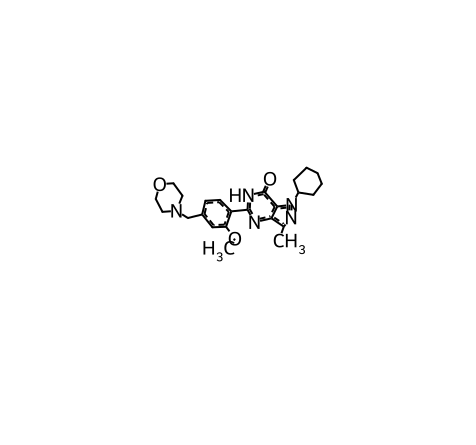 COc1cc(CN2CCOCC2)ccc1-c1nc2c(C)nn(C3CCCCC3)c2c(=O)[nH]1